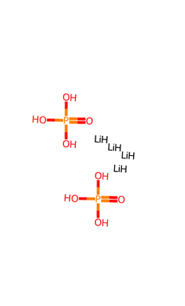 O=P(O)(O)O.O=P(O)(O)O.[LiH].[LiH].[LiH].[LiH]